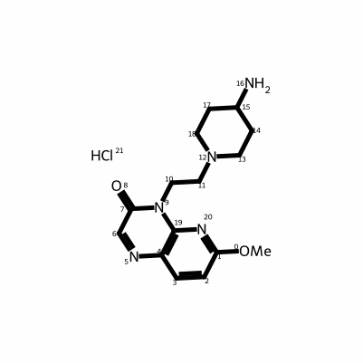 COc1ccc2ncc(=O)n(CCN3CCC(N)CC3)c2n1.Cl